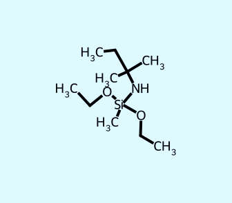 CCO[Si](C)(NC(C)(C)CC)OCC